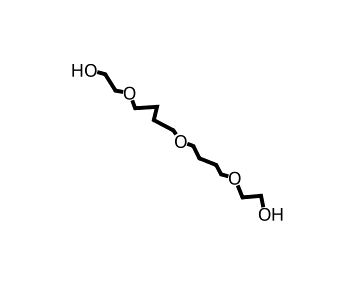 OCCOCCCCOCCCCOCCO